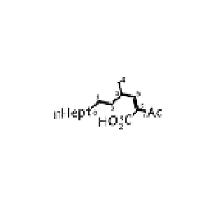 CCCCCCCCCC(C)/C=C(/C(C)=O)C(=O)O